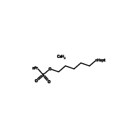 CCCCCCCCCCCCOS(=O)(=O)CCC.[CaH2]